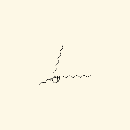 CCCCCCCCCc1n(CCCC)cc[n+]1CCCCCCCCC